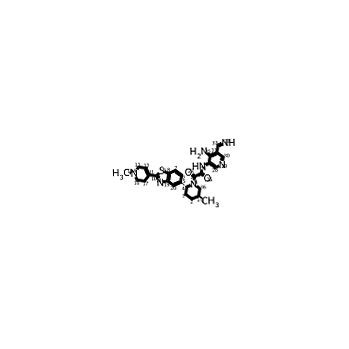 C[C@H]1CC[C@H](c2ccc3sc(C4=CCN(C)CC4)nc3c2)N(C(=O)C(=O)Nc2cncc(C=N)c2N)C1